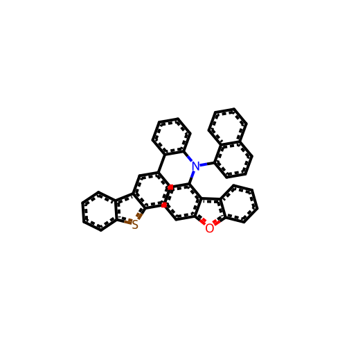 c1ccc(N(c2cccc3ccccc23)c2cccc3oc4ccccc4c23)c(-c2ccc3sc4ccccc4c3c2)c1